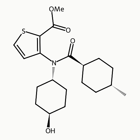 COC(=O)c1sccc1N(C(=O)[C@H]1CC[C@H](C)CC1)[C@H]1CC[C@H](O)CC1